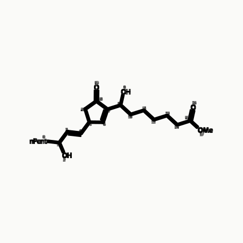 CCCCCC(O)C=CC1C=C(C(O)CCCCCC(=O)OC)C(=O)C1